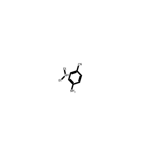 CCNCC.N#Cc1ccc(N)cc1